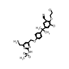 CC(C)(c1ccc(OCc2cc(CN)nc(NS(C)(=O)=O)n2)cc1)c1cc(Cl)c(OCCCl)c(C#N)c1